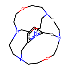 c1cc2[nH]c1CN1CCOCCN(CCN3CCOCCN(CCOCC3)CC1)C2